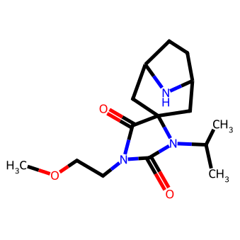 COCCN1C(=O)N(C(C)C)C2(CC3CCC(C2)N3)C1=O